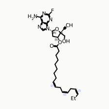 C#C[C@]1(CO)O[C@@H](n2cnc3c(N)nc(F)nc32)C[C@@H]1OC(=O)CCCCCCC/C=C\C/C=C\C/C=C\CC